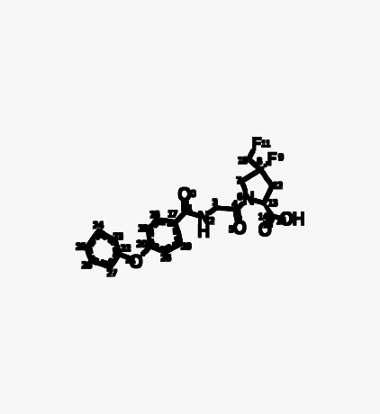 O=C(NCC(=O)N1C[C@@](F)(CF)C[C@H]1C(=O)O)c1ccc(Oc2ccccc2)cc1